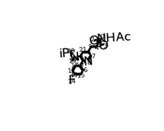 CC(=O)NS(=O)(=O)/C=C/c1cnc(-c2ccc(F)cc2)c(N(C)C(C)C)c1